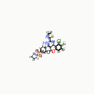 COC(=O)C1=C([C@H]2CC=C(S(=O)(=O)N3CCCC3)CC2)NC(c2nccs2)=NC1c1ccc(F)c(F)c1Cl